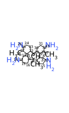 CC(C)(C1CCC(N)CC1)C1CCC(N)CC1.CC1CC(CC2CCC(N)C(C)C2)CCC1N